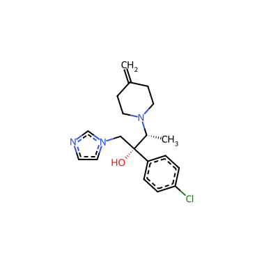 C=C1CCN([C@H](C)[C@](O)(Cn2ccnc2)c2ccc(Cl)cc2)CC1